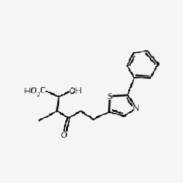 CC(C(=O)CCc1cnc(-c2ccccc2)s1)C(O)C(=O)O